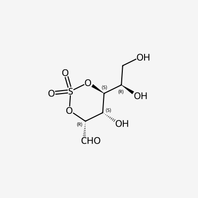 O=C[C@@H]1OS(=O)(=O)O[C@@H]([C@H](O)CO)[C@@H]1O